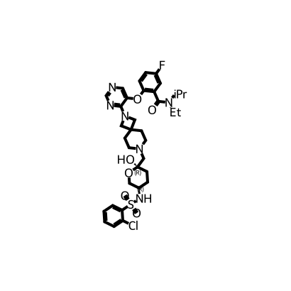 CCN(C(=O)c1cc(F)ccc1Oc1cncnc1N1CC2(CCN(C[C@@]3(O)CC[C@@H](NS(=O)(=O)c4ccccc4Cl)CO3)CC2)C1)C(C)C